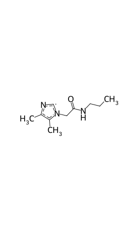 CCCNC(=O)Cn1[c]nc(C)c1C